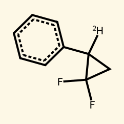 [2H]C1(c2ccccc2)CC1(F)F